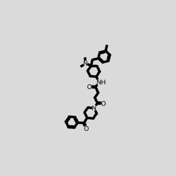 Cc1cccc(CC2(N(C)C)CCC(NC(=O)CCC(=O)N3CCC(C(=O)c4ccccc4)CC3)CC2)c1